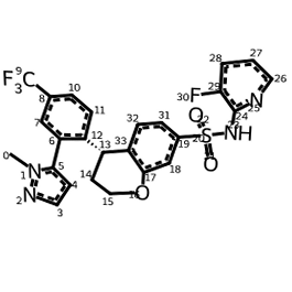 Cn1nccc1-c1cc(C(F)(F)F)ccc1[C@H]1CCOc2cc(S(=O)(=O)Nc3ncccc3F)ccc21